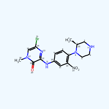 C[C@H]1CNCCN1c1ccc(Nc2nc(Br)cn(C)c2=O)cc1[N+](=O)[O-]